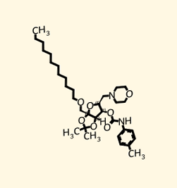 CCCCCCCCCCCCOC[C@@]12O[C@@H](CN3CCOCC3)[C@@H](OC(=O)Nc3ccc(C)cc3)[C@@H]1OC(C)(C)O2